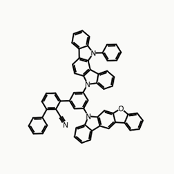 N#Cc1c(-c2ccccc2)cccc1-c1cc(-n2c3ccccc3c3cc4c(cc32)oc2ccccc24)cc(-n2c3ccccc3c3c2ccc2c4ccccc4n(-c4ccccc4)c23)c1